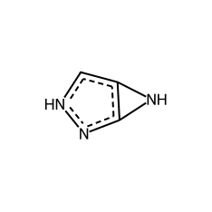 c1[nH]nc2c1N2